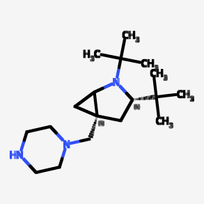 CC(C)(C)[C@@H]1C[C@@]2(CN3CCNCC3)CC2N1C(C)(C)C